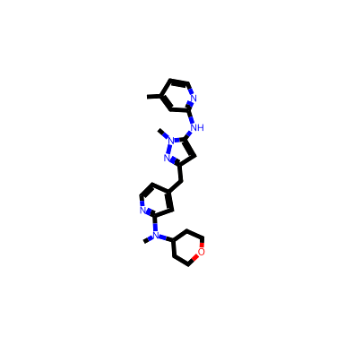 Cc1ccnc(Nc2cc(Cc3ccnc(N(C)C4CCOCC4)c3)nn2C)c1